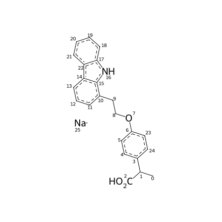 CC(C(=O)O)c1ccc(OCCc2cccc3c2[nH]c2ccccc23)cc1.[Na]